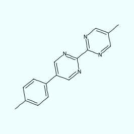 Cc1ccc(-c2cnc(-c3ncc(C)cn3)nc2)cc1